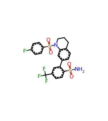 NS(=O)(=O)c1ccc(C(F)(F)F)cc1-c1ccc2c(c1)N(S(=O)(=O)c1ccc(F)cc1)CCC2